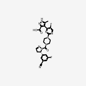 Cc1[nH]nc(C(=O)O)c1-c1nc(N2CCN(C(=O)N3N=CC[C@H]3c3cc(F)cc(C#N)c3)CC2)ncc1F